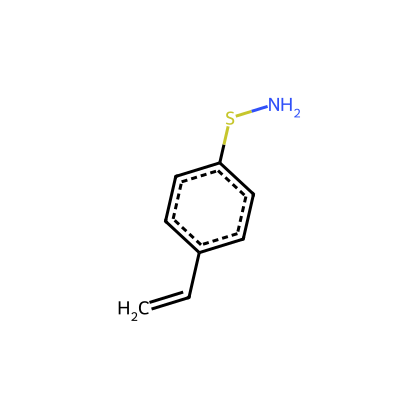 C=Cc1ccc(SN)cc1